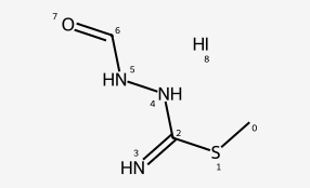 CSC(=N)NNC=O.I